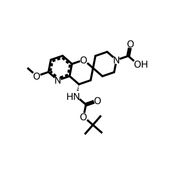 COc1ccc2c(n1)[C@@H](NC(=O)OC(C)(C)C)CC1(CCN(C(=O)O)CC1)O2